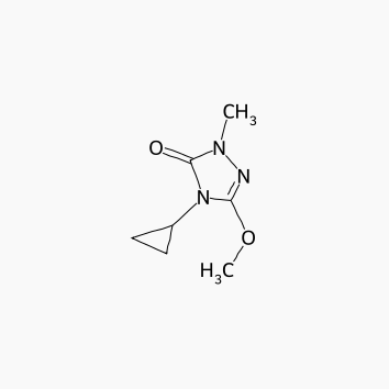 COc1nn(C)c(=O)n1C1CC1